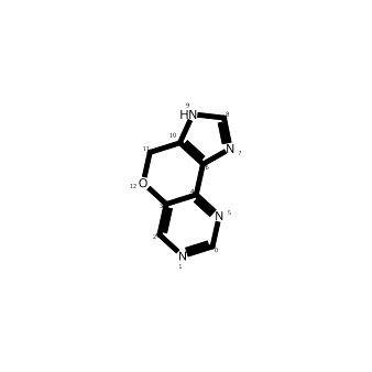 c1ncc2c(n1)-c1nc[nH]c1CO2